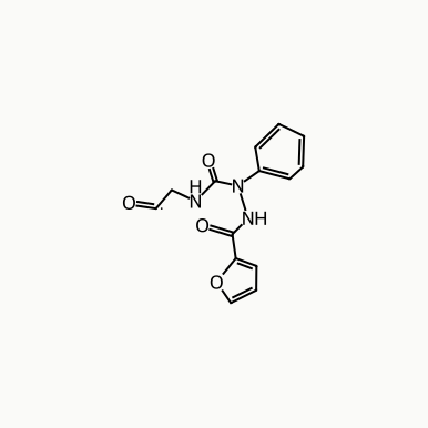 O=[C]CNC(=O)N(NC(=O)c1ccco1)c1ccccc1